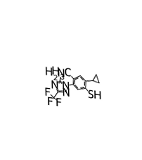 Cc1cc(C2CC2)c(S)cc1-n1nc(C(F)(F)F)nc1N